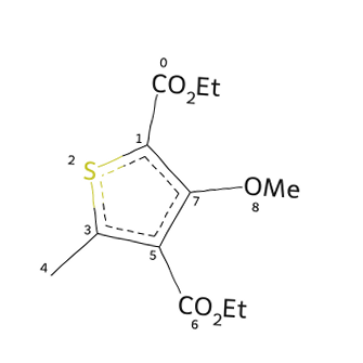 CCOC(=O)c1sc(C)c(C(=O)OCC)c1OC